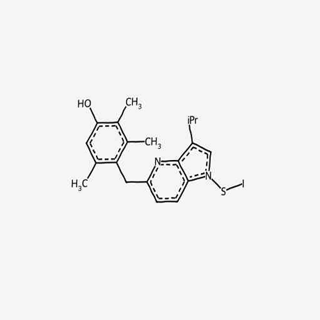 Cc1cc(O)c(C)c(C)c1Cc1ccc2c(n1)c(C(C)C)cn2SI